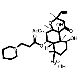 C=C[C@@]1(C)CC(=O)[C@]2(O)[C@@]3(C)[C@@H](O)CCC(C)(C)[C@@H]3[C@H](OC(=O)CCN3CCCCC3)[C@H](OC(C)=O)[C@@]2(C)O1.Cl.O